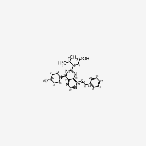 CC(C)N(CCO)c1nc(N2CC[S+]([O-])CC2)c2ncnc(SCc3ccccc3)c2n1